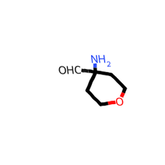 NC1(C=O)CCOCC1